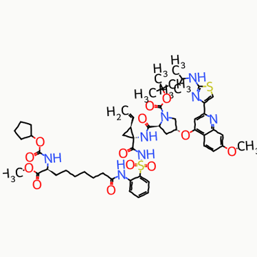 C=C[C@@H]1C[C@]1(NC(=O)[C@@H]1C[C@@H](Oc2cc(-c3csc(NC(C)C)n3)nc3cc(OC)ccc23)CN1C(=O)OC(C)(C)C)C(=O)NS(=O)(=O)c1ccccc1NC(=O)CCCCCC[C@H](NC(=O)OC1CCCC1)C(=O)OC